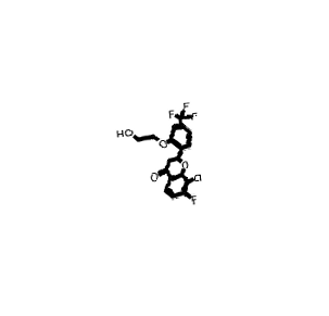 O=C1CC(c2ccc(C(F)(F)F)cc2OCCO)Oc2c1ccc(F)c2Cl